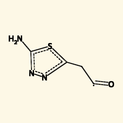 Nc1nnc(C[C]=O)s1